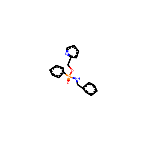 O=P(NCc1ccccc1)(OCc1ccccn1)c1ccccc1